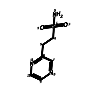 NS(=O)(=O)CCc1cnccn1